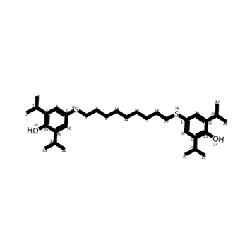 CC(C)c1cc(SCCCCCCCCCSc2cc(C(C)C)c(O)c(C(C)C)c2)cc(C(C)C)c1O